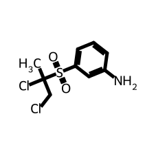 CC(Cl)(CCl)S(=O)(=O)c1cccc(N)c1